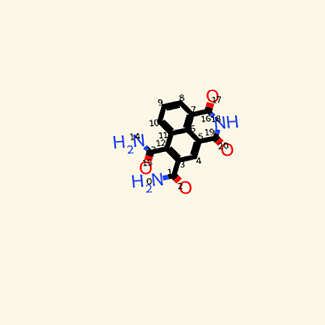 NC(=O)c1cc2c3c(cccc3c1C(N)=O)C(=O)NC2=O